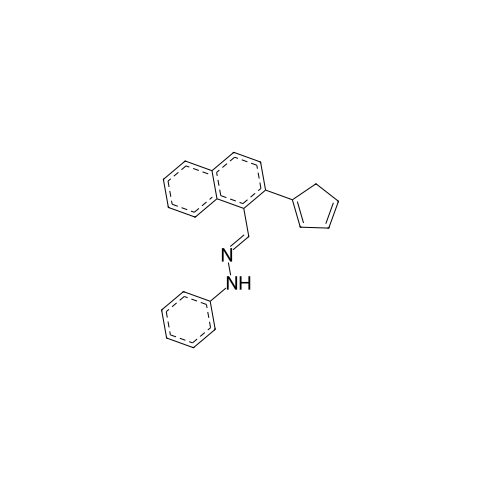 C1=CCC(c2ccc3ccccc3c2C=NNc2ccccc2)=C1